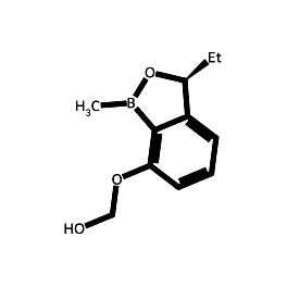 CC[C@@H]1OB(C)c2c(OCO)cccc21